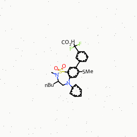 CCCCC1CN(c2ccccc2)c2cc(SC)c(-c3cccc(C(F)(F)C(=O)O)c3)cc2S(=O)(=O)N1C